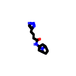 CN1C2CCC1CC(NC(=O)CCCc1c[nH]nn1)C2